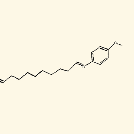 COc1ccc(N=CCCCCCCCCC=O)cc1